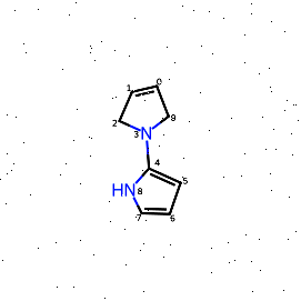 C1=CCN(c2ccc[nH]2)C1